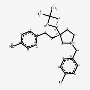 CC1(C)C[C@H]([C@]2(CCc3ccc(C#N)cn3)CCN(Cc3ccc(Cl)cc3)C2)O1